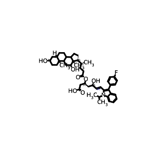 CC(C)n1c(/C=C/[C@H](O)C[C@@H](CC(=O)O)OC(=O)CC[C@@H](C)[C@H]2CCC3C4CC[C@@H]5C[C@H](O)CC[C@]5(C)C4C[C@H](O)[C@@]32C)c(-c2ccc(F)cc2)c2ccccc21